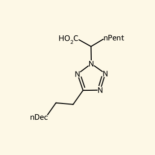 CCCCCCCCCCCCc1nnn(C(CCCCC)C(=O)O)n1